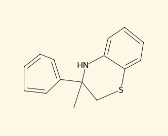 CC1(c2ccccc2)CSc2ccccc2N1